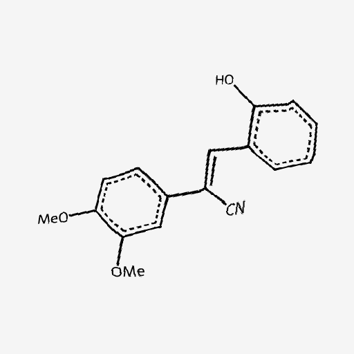 COc1ccc(/C(C#N)=C/c2ccccc2O)cc1OC